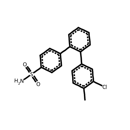 Cc1ccc(-c2ccccc2-c2ccc(S(N)(=O)=O)cc2)cc1Cl